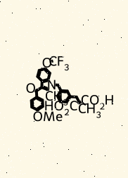 COc1ccc(C(=O)c2c(C)n(Cc3cccc(CC(C)(C(=O)O)C(=O)O)c3)c3cc(OC(F)(F)F)ccc23)cc1